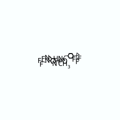 C[C@@H](NC(=O)Cc1ccc(C2(C(F)(F)F)CC2)cc1)c1cc2cnn(CC(F)(F)F)c2cn1